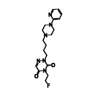 O=c1cnn(CCCCN2CCN(c3ccccn3)CC2)c(=O)n1CCF